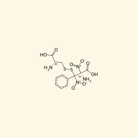 N[C@@H](CSSC(c1ccccc1)([N+](=O)[O-])[C@](N)(C(=O)O)[N+](=O)[O-])C(=O)O